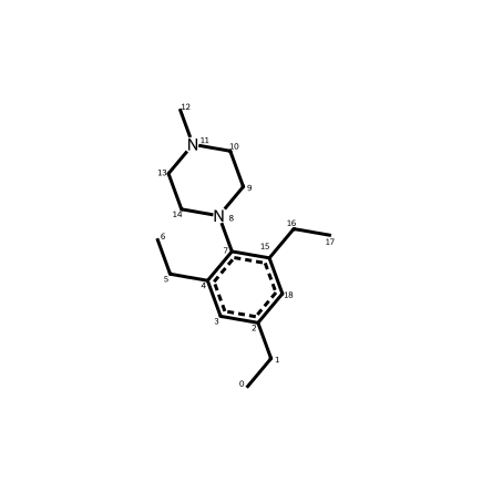 CCc1cc(CC)c(N2CCN(C)CC2)c(CC)c1